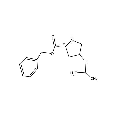 CC(C)OC1CN[C@@H](C(=O)OCc2ccccc2)C1